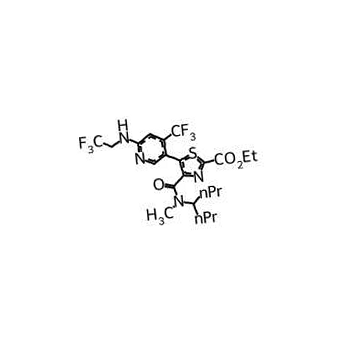 CCCC(CCC)N(C)C(=O)c1nc(C(=O)OCC)sc1-c1cnc(NCC(F)(F)F)cc1C(F)(F)F